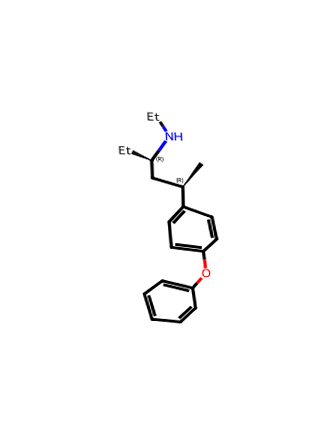 CCN[C@H](CC)C[C@@H](C)c1ccc(Oc2ccccc2)cc1